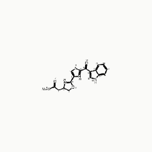 COC(=O)CC1COC(c2csc(C(=O)c3c[nH]c4ccccc34)n2)=N1